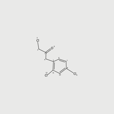 O=C(CCl)Cc1ccc(Cl)cc1Cl